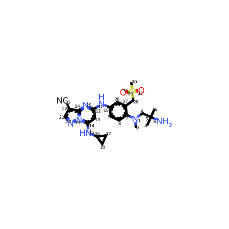 CN(CC(C)(C)N)c1ccc(Nc2cc(NC3CC3)n3ncc(C#N)c3n2)cc1CS(C)(=O)=O